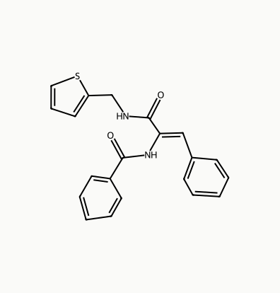 O=C(NCc1cccs1)/C(=C/c1ccccc1)NC(=O)c1ccccc1